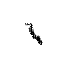 COCCCNC(=O)Nc1ccc(-c2ccnc(Nc3ccc(N4CCOCC4)cc3)n2)cc1